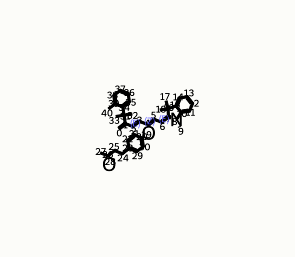 C=C(/C=C/C(=C/C=C1/N(C)c2ccccc2C1(C)C)Oc1ccc(CCC(C)=O)cc1)C(C)(C)c1ccccc1C